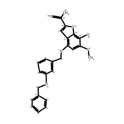 COc1cc(OCc2cccc(OCc3ccccc3)c2)c2cc(C(C)=O)oc2c1Cl